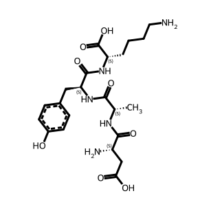 C[C@H](NC(=O)[C@@H](N)CC(=O)O)C(=O)N[C@@H](Cc1ccc(O)cc1)C(=O)N[C@@H](CCCCN)C(=O)O